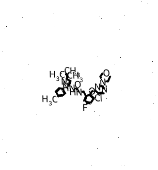 Cc1ccc(-n2nc(C(C)(C)C)cc2NC(=O)NCc2cc(F)cc(Cl)c2Oc2ccnc(N3CCOCC3)n2)cc1